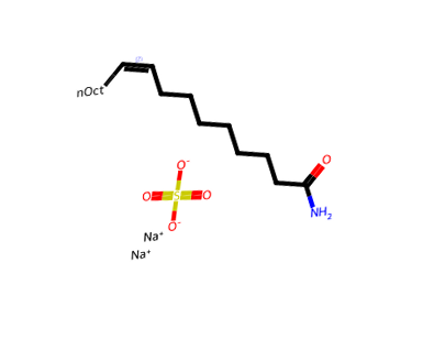 CCCCCCCC/C=C\CCCCCCCC(N)=O.O=S(=O)([O-])[O-].[Na+].[Na+]